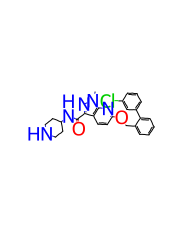 Cn1nc(C(=O)NC2CCNCC2)c2ccc(OCc3ccccc3-c3cccc(Cl)c3)nc21